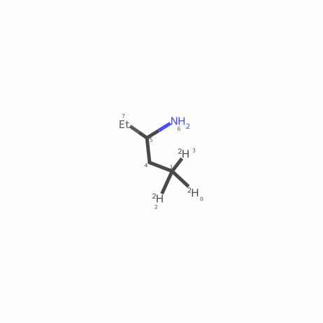 [2H]C([2H])([2H])CC(N)CC